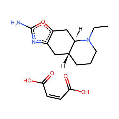 CCN1CCC[C@@H]2Cc3nc(N)oc3C[C@H]21.O=C(O)/C=C\C(=O)O